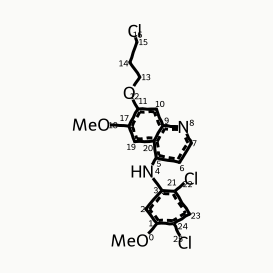 COc1cc(Nc2ccnc3cc(OCCCCl)c(OC)cc23)c(Cl)cc1Cl